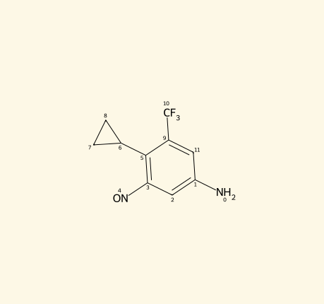 Nc1cc(N=O)c(C2CC2)c(C(F)(F)F)c1